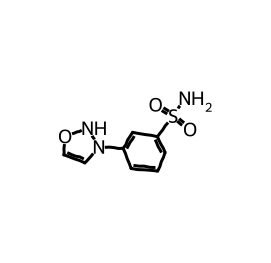 NS(=O)(=O)c1cccc(N2C=CON2)c1